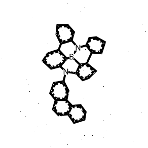 c1ccc2c(c1)-c1cccc3c1B1c4c(cccc4N3c3ccc4ccc5ccccc5c4c3)-c3ccccc3N12